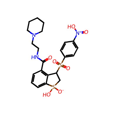 O=C(NCCN1CCCCC1)c1cccc2c1C(S(=O)(=O)c1ccc([N+](=O)O)cc1)CS2([O-])O